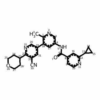 Cc1ncc(NC(=O)c2ccnc(C3CC3)c2)cc1-c1cnc(C2CCOCC2)c(C#N)c1